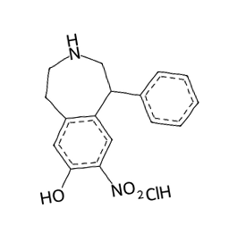 Cl.O=[N+]([O-])c1cc2c(cc1O)CCNCC2c1ccccc1